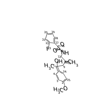 COc1ccc(C(C)(O)C[C@H](C)CNS(=O)(=O)c2ccccc2F)cc1